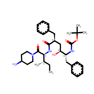 CC[C@H](C)[C@H](NC(=O)[C@@H](Cc1ccccc1)C[C@H](O)[C@@H](Cc1ccccc1)NC(=O)OC(C)(C)C)C(=O)N1CCC(N)CC1